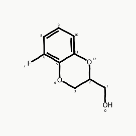 OCC1COc2c(F)cccc2O1